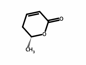 C[C@@H]1CC=CC(=O)O1